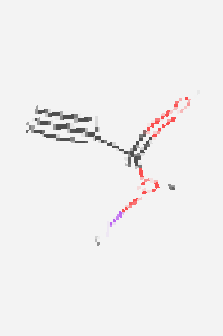 C#CC(=O)OI